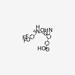 N#Cc1ccc(-c2ccc(C(=O)O)cc2)cc1OC[C@H](O)CNC1(Cc2ccc(OC(F)(F)F)cc2)CC1